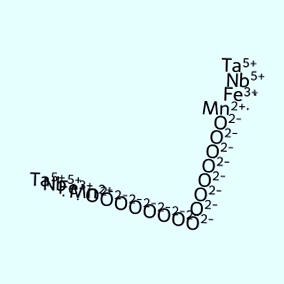 [Fe+3].[Fe+3].[Mn+2].[Mn+2].[Nb+5].[Nb+5].[O-2].[O-2].[O-2].[O-2].[O-2].[O-2].[O-2].[O-2].[O-2].[O-2].[O-2].[O-2].[O-2].[O-2].[O-2].[Ta+5].[Ta+5]